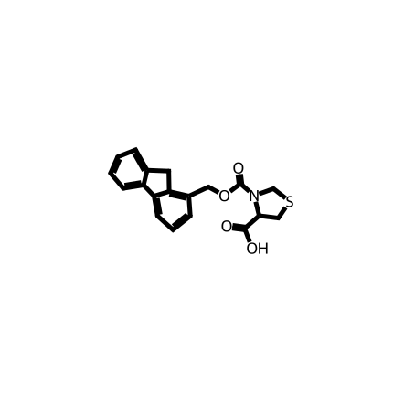 O=C(O)C1CSCN1C(=O)OCc1cccc2c1Cc1ccccc1-2